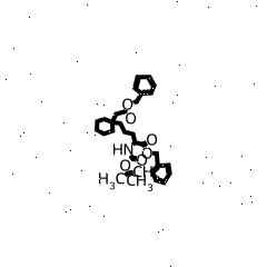 CC(C)(C)OC(=O)NC(CCCC1(CC(=O)OCc2ccccc2)CCCCC1)C(=O)OCc1ccccc1